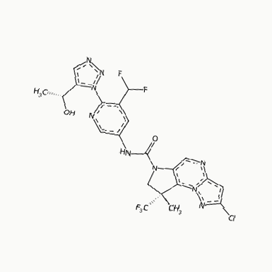 C[C@@H](O)c1cnnn1-c1ncc(NC(=O)N2C[C@@](C)(C(F)(F)F)c3c2cnc2cc(Cl)nn32)cc1C(F)F